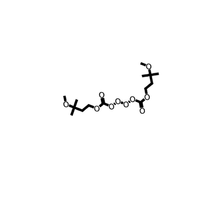 COC(C)(C)CCOC(=O)OOOOC(=O)OCCC(C)(C)OC